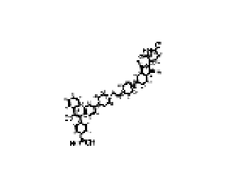 CC/C(=C(\c1ccc(B(O)O)cc1)c1ccc(N2CCN(CCN3CCN(c4ccc5c(c4)C(=O)N(C4CCC(=O)NC4=O)C5=O)CC3)CC2)cc1)c1ccccc1